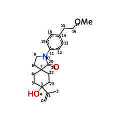 C=C(C)C1(O)CCC2(CCN(c3ccc(CCOC)cc3)C2=O)CC1